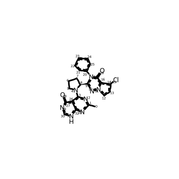 Cc1nc(N2CCC[C@H]2c2nn3ccc(Cl)c3c(=O)n2-c2ccccc2)c2c(=O)nc[nH]c2n1